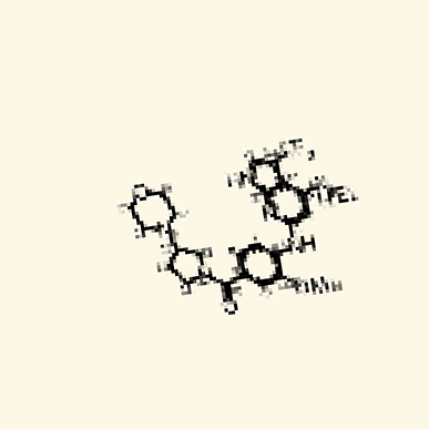 CCNc1cc(Nc2ccc(C(=O)N3CCC(N4CCOCC4)C3)cc2OC)nc2[nH]cc(C(F)(F)F)c12